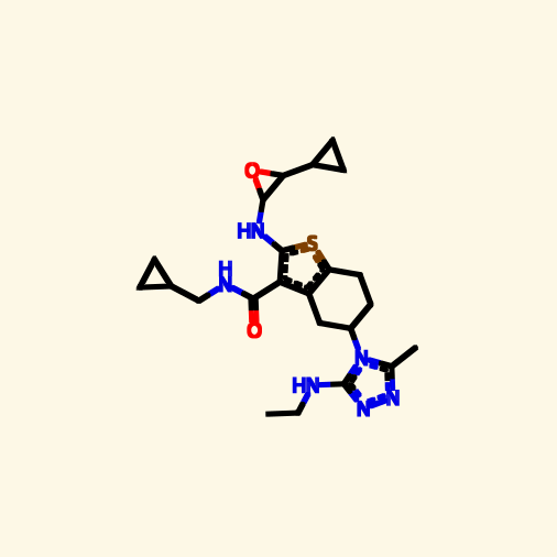 CCNc1nnc(C)n1C1CCc2sc(NC3OC3C3CC3)c(C(=O)NCC3CC3)c2C1